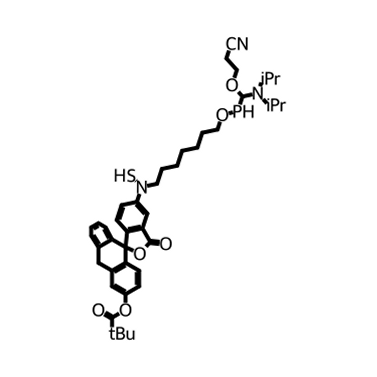 CC(C)N(C(C)C)C(OCCC#N)POCCCCCCCN(S)c1ccc2c(c1)C(=O)OC21c2ccccc2Cc2cc(OC(=O)C(C)(C)C)ccc21